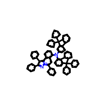 c1ccc(-c2nn3c(-c4ccccc4)cc4c(N(c5ccc6c(c5)C(c5ccccc5)(c5ccccc5)c5ccccc5-6)c5cccc6c5-c5ccccc5C6(c5ccccc5)c5ccccc5)cccc4c3c2-c2ccccc2)cc1